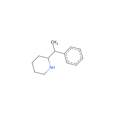 CC(c1ccccc1)C1CCCCN1